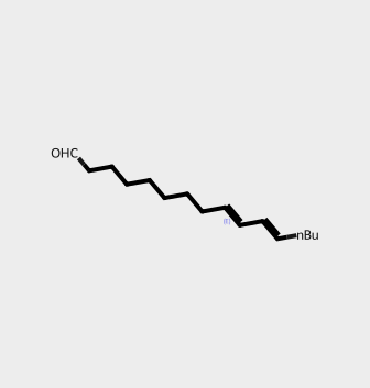 CCCCC=C/C=C/CCCCCCCC=O